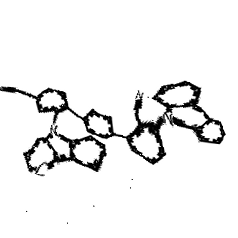 N#Cc1ccc(-c2ccc(-c3cccc(-n4c5ccccc5c5ccccc54)c3C#N)cc2)c(-n2c3ccccc3c3ccccc32)c1